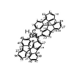 Cc1ccc2c(c1)C1(c3ccccc3-2)c2ccccc2-c2ccc(C(=O)c3ccc4c(c3)C3(c5ccccc5-c5ccc(C)cc53)c3ccccc3-4)cc21